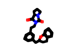 O=C1C2CCCN2C(=O)N1CCc1cccc(CC2CCc3ccccc3O2)c1